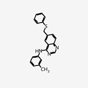 Cc1cccc(Nc2ncnc3ccc(CSc4ccccc4)cc23)c1